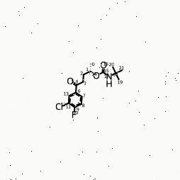 C[C@@H](CCC(=O)c1ccc(F)c(Cl)c1)OC(=O)NC(C)(C)C